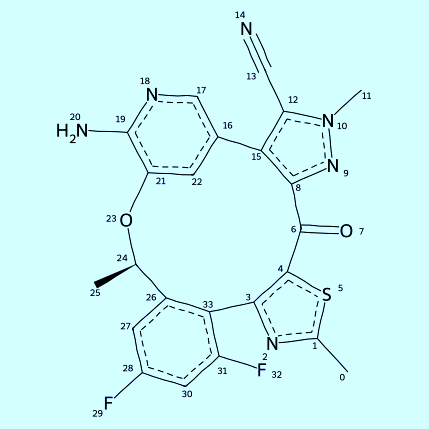 Cc1nc2c(s1)C(=O)c1nn(C)c(C#N)c1-c1cnc(N)c(c1)O[C@H](C)c1cc(F)cc(F)c1-2